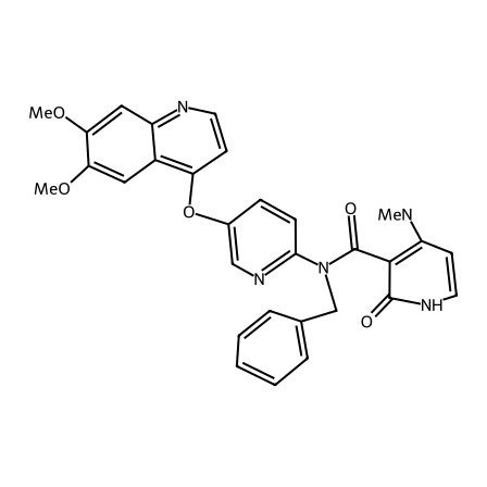 CNc1cc[nH]c(=O)c1C(=O)N(Cc1ccccc1)c1ccc(Oc2ccnc3cc(OC)c(OC)cc23)cn1